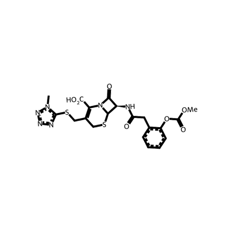 COC(=O)Oc1ccccc1CC(=O)N[C@@H]1C(=O)N2C(C(=O)O)=C(CSc3nnnn3C)CSC12